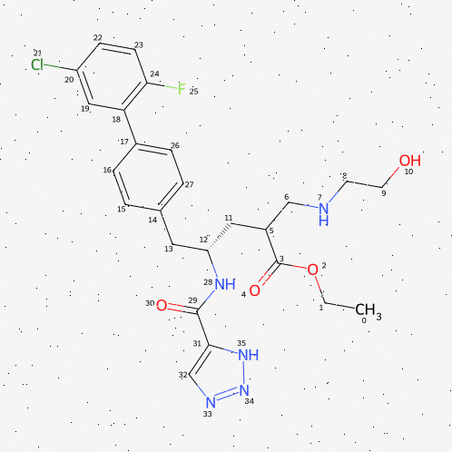 CCOC(=O)C(CNCCO)C[C@@H](Cc1ccc(-c2cc(Cl)ccc2F)cc1)NC(=O)c1cnn[nH]1